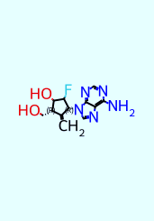 C=C1[C@@H](n2cnc3c(N)ncnc32)C(F)C(O)[C@H]1CO